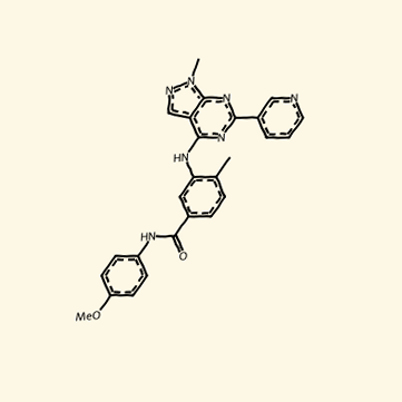 COc1ccc(NC(=O)c2ccc(C)c(Nc3nc(-c4cccnc4)nc4c3cnn4C)c2)cc1